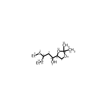 CCSC(CC(O)C1COC(C)(C)O1)SCC